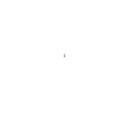 Cl.N=C(N)N1CCC(CCC(=O)Oc2ccc(C=CC(=O)O)cc2)CC1